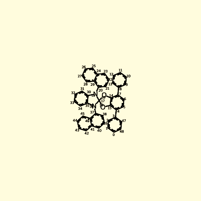 c1ccc(-c2ccc(-c3ccccc3)c3c2OC2(O3)N(c3cccc4ccccc34)c3ccccc3N2c2cccc3ccccc23)cc1